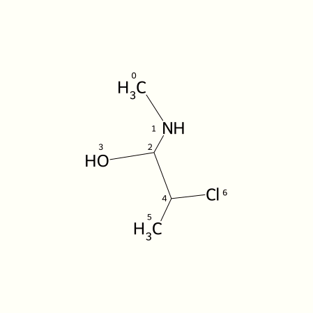 CNC(O)C(C)Cl